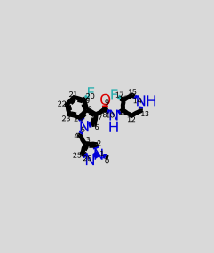 Cn1cc(Cn2cc(C(=O)NC3CCNCC3F)c3c(F)cccc32)cn1